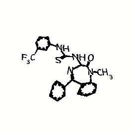 CN1C(=O)C(NC(=S)Nc2cccc(C(F)(F)F)c2)N=C(c2ccccc2)c2ccccc21